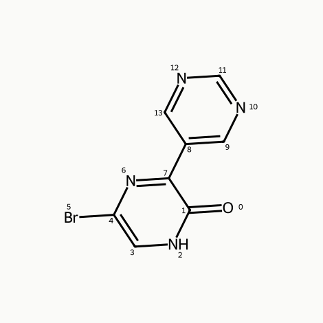 O=c1[nH]cc(Br)nc1-c1cncnc1